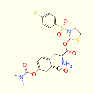 CN(C)C(=O)OC1=CC=C(C[C@H](N)C(=O)OC2SCCN2S(=O)(=O)c2ccc(F)cc2)C(=C=O)C1